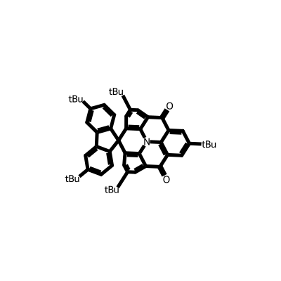 CC(C)(C)c1ccc2c(c1)-c1cc(C(C)(C)C)ccc1C21c2cc(C(C)(C)C)cc3c(=O)c4cc(C(C)(C)C)cc5c(=O)c6cc(C(C)(C)C)cc1c6n(c23)c45